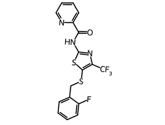 O=C(Nc1nc(C(F)(F)F)c(SCc2ccccc2F)s1)c1ccccn1